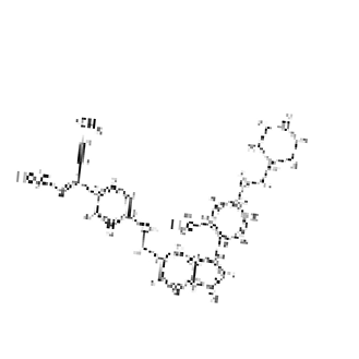 CC#C/C(=C\C(=O)O)c1ccc(OCc2ccc3scc(-c4ccc(OCC5CCOCC5)cc4C)c3c2)nc1